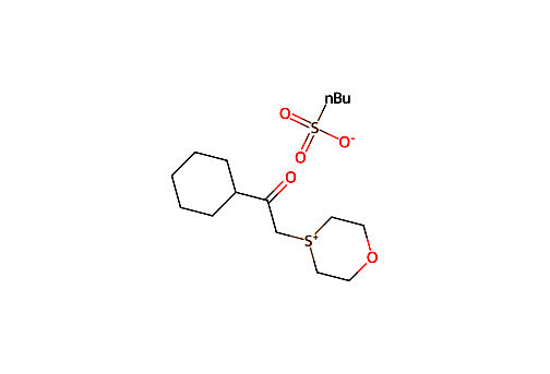 CCCCS(=O)(=O)[O-].O=C(C[S+]1CCOCC1)C1CCCCC1